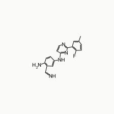 Cc1ccc(F)c(-c2nccc(Nc3ccc(N)c(C=N)c3)n2)c1